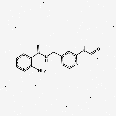 Nc1ccccc1C(=O)NCc1ccnc(NC=O)c1